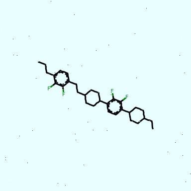 CCCc1ccc(CCC2CCC(c3ccc(C4CCC(CC)CC4)c(F)c3F)CC2)c(F)c1F